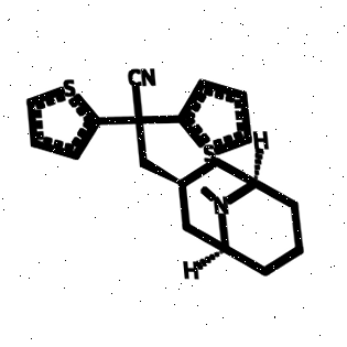 CN1[C@@H]2CCC[C@H]1C[C@@H](CC(C#N)(c1cccs1)c1cccs1)C2